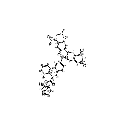 CC(C)Oc1cc(C(Cc2c(Cl)c[n+]([O-])cc2Cl)OC(=O)c2ccc(CN(C(=O)O[C@H]3CN4CCC3CC4)c3ccccc3F)cc2)ccc1OC(F)F